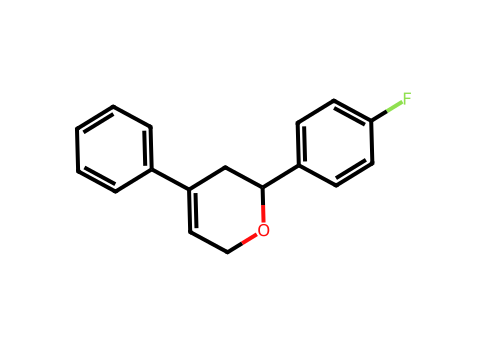 Fc1ccc(C2CC(c3ccccc3)=CCO2)cc1